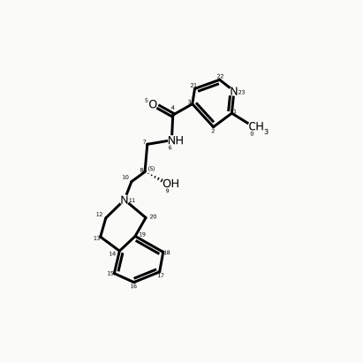 Cc1cc(C(=O)NC[C@H](O)CN2CCc3ccccc3C2)ccn1